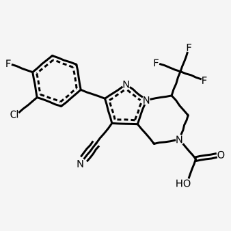 N#Cc1c(-c2ccc(F)c(Cl)c2)nn2c1CN(C(=O)O)CC2C(F)(F)F